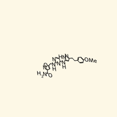 COc1ccc(CCc2cc(Nc3ccnc(NCc4cc(C(N)=O)no4)n3)[nH]n2)cc1